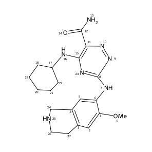 COc1cc2c(cc1Nc1nnc(C(N)=O)c(NC3CCCCC3)n1)CNCC2